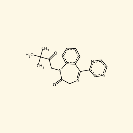 CC(C)(C)C(=O)CN1C(=O)CN=C(c2cnccn2)c2ccccc21